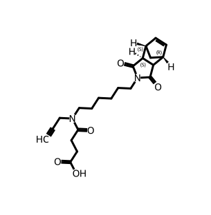 C#CCN(CCCCCCN1C(=O)C2[C@@H](C1=O)[C@@H]1C=C[C@H]2C1)C(=O)CCC(=O)O